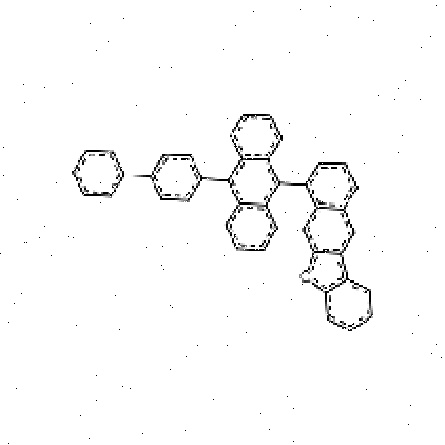 c1ccc(-c2ccc(-c3c4ccccc4c(-c4cccc5cc6c(cc45)oc4ccccc46)c4ccccc34)cc2)cc1